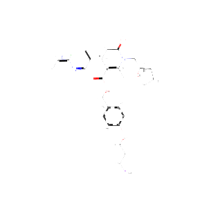 C=C(/C=N\C(Cl)=C/C)[C@@H]1CC(=O)N(C[C@H]2CCCO2)C(C)=C1C(=O)OCc1ccc(OCCCI)cc1